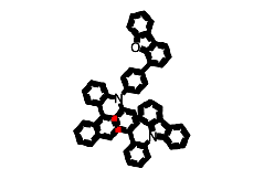 c1ccc(N(c2ccc(-c3ccccc3-n3c4ccccc4c4ccccc43)cc2)c2ccc(-c3cccc4c3oc3ccccc34)cc2)c(-c2cccc3ccccc23)c1